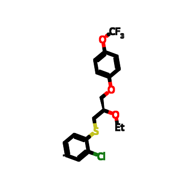 CCO[C@H](COc1ccc(OC(F)(F)F)cc1)CSc1cc[c]cc1Cl